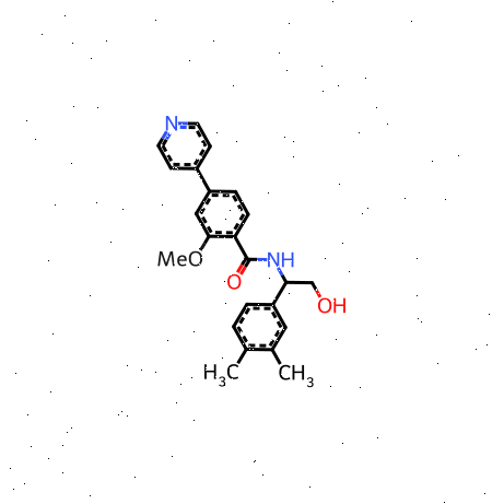 COc1cc(-c2ccncc2)ccc1C(=O)NC(CO)c1ccc(C)c(C)c1